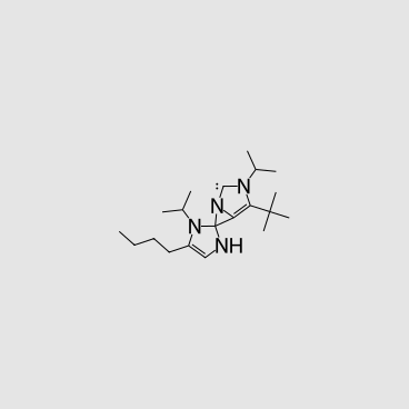 CCCCC1=CNC2(C3=C(C(C)(C)C)N(C(C)C)[C]N32)N1C(C)C